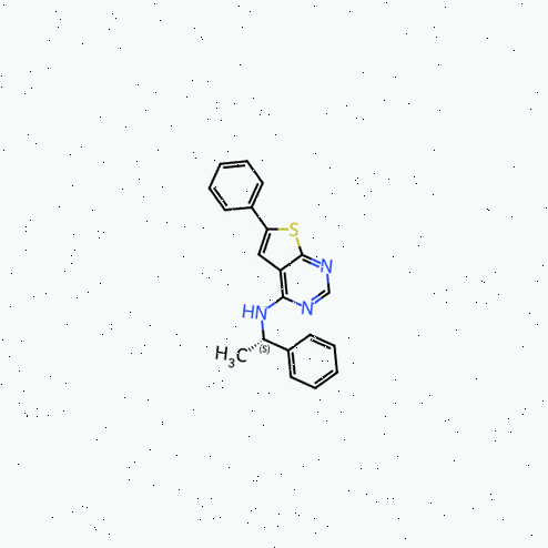 C[C@H](Nc1ncnc2sc(-c3ccccc3)cc12)c1ccccc1